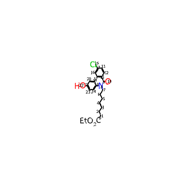 CCOC(=O)CCCCCCCN(C(=O)c1ccc(Cl)cc1)c1ccc(O)cc1